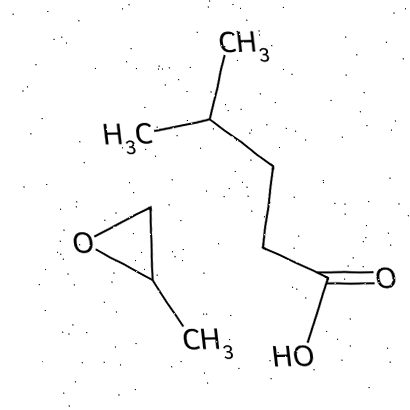 CC(C)CCC(=O)O.CC1CO1